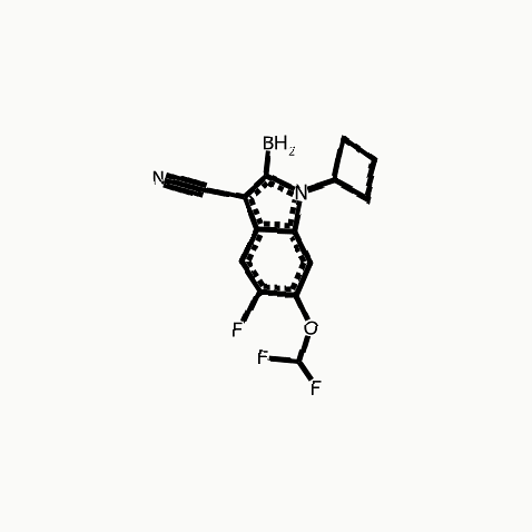 Bc1c(C#N)c2cc(F)c(OC(F)F)cc2n1C1CCC1